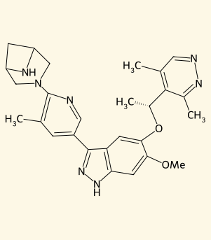 COc1cc2[nH]nc(-c3cnc(N4CC5CC(C4)N5)c(C)c3)c2cc1O[C@H](C)c1c(C)cnnc1C